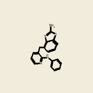 Nc1nc2c(Cc3cccnc3Nc3ccccc3)cccc2s1